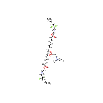 CCCCCC(F)(F)/C=C/COC(=O)CCCCCCCC(CCCCCCCC(=O)OC/C=C/CC(F)(F)CCCC)OC(=O)CCCN(C)C